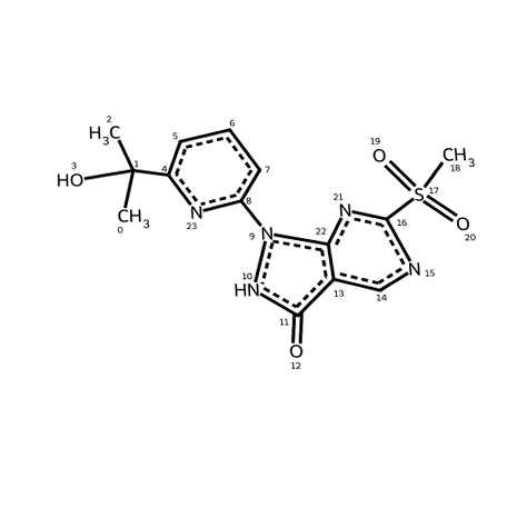 CC(C)(O)c1cccc(-n2[nH]c(=O)c3cnc(S(C)(=O)=O)nc32)n1